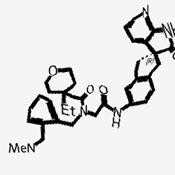 CCC1(C(=O)N(CC(=O)Nc2ccc3c(c2)C[C@@]2(C3)C(=O)Nc3ncccc32)Cc2ccccc2CNC)CCOCC1